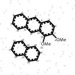 COc1ccc2cc3ccccc3cc2c1OC.c1ccc2ccccc2c1